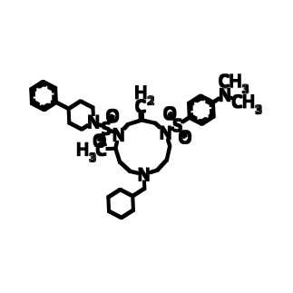 C=C1CN(S(=O)(=O)c2ccc(N(C)C)cc2)CCCN(CC2CCCCC2)CCC(C)N(S(=O)(=O)N2CCC(c3ccccc3)CC2)C1